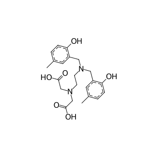 Cc1ccc(O)c(CN(CCN(CC(=O)O)CC(=O)O)Cc2cc(C)ccc2O)c1